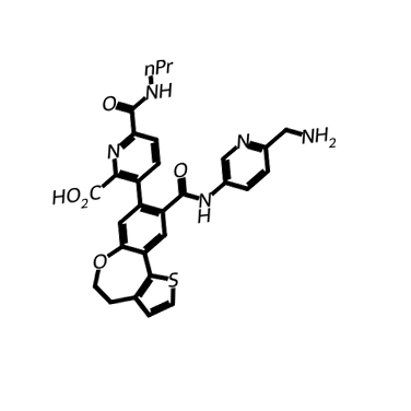 CCCNC(=O)c1ccc(-c2cc3c(cc2C(=O)Nc2ccc(CN)nc2)-c2sccc2CCO3)c(C(=O)O)n1